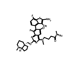 CC(=O)N(C)C(=O)CCCN(C)c1nc(OC[C@]23CCC[C@H]2N(C)CCC3)nc2c(F)c(-c3ccc(F)c4sc(N)c(C#N)c34)c(Cl)cc12